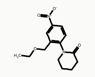 CCOCc1cc([N+](=O)[O-])ccc1N1CCCCC1=O